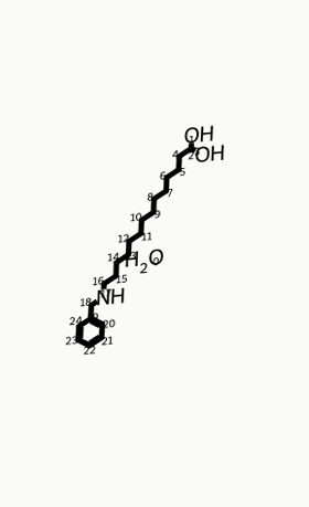 O.OC(O)CCCCCCCCCCCCCNCc1ccccc1